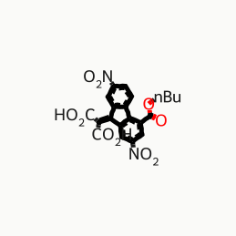 CCCCOC(=O)c1cc([N+](=O)[O-])cc2c1-c1ccc([N+](=O)[O-])cc1C2=C(C(=O)O)C(=O)O